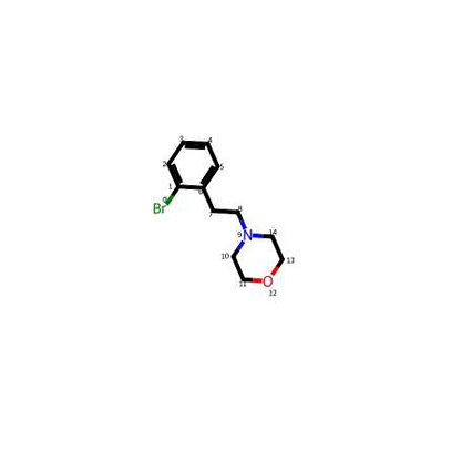 Brc1ccccc1CCN1CCOCC1